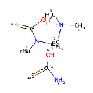 CCCCN(CCCC)C(O)=S.CN(C)C.NC(O)=S